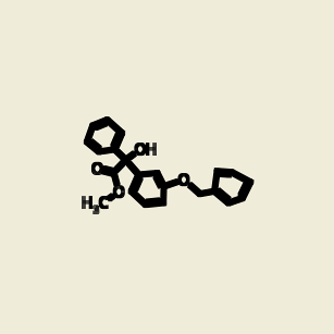 COC(=O)C(O)(c1ccccc1)c1cccc(OCc2ccccc2)c1